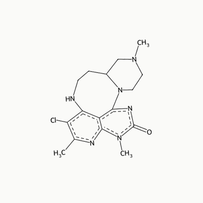 Cc1nc2c3c(nc(=O)n2C)N2CCN(C)CC2CCNc3c1Cl